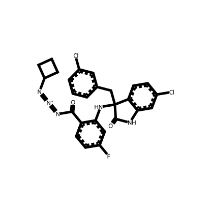 O=C(N=[N+]=NC1CCC1)c1ccc(F)cc1NC1(Cc2cccc(Cl)c2)C(=O)Nc2cc(Cl)ccc21